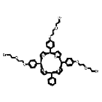 BrCCOCCOc1ccc(-c2c3nc(c(-c4ccc(OCCOCCBr)cc4)c4ccc([nH]4)c(-c4ccc(OCCOCCBr)cc4)c4nc(c(-c5ccccc5)c5ccc2[nH]5)C=C4)C=C3)cc1